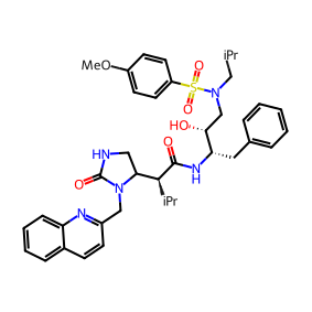 COc1ccc(S(=O)(=O)N(CC(C)C)C[C@@H](O)[C@H](Cc2ccccc2)NC(=O)[C@@H](C(C)C)C2CNC(=O)N2Cc2ccc3ccccc3n2)cc1